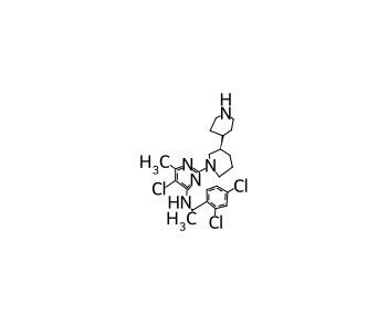 Cc1nc(N2CCC[C@H](C3CCNCC3)C2)nc(N[C@H](C)c2ccc(Cl)cc2Cl)c1Cl